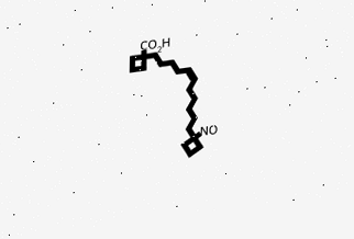 O=NC1(CCCCC/C=C\CCCCC2(C(=O)O)CCC2)CCC1